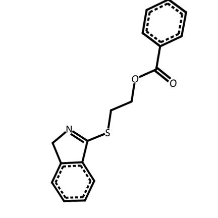 O=C(OCCSC1=NCc2ccccc21)c1ccccc1